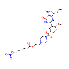 CCCc1cn(C)c2c(=O)[nH]c(-c3cc(S(=O)(=O)N4CCN(CCOC(=O)CCCCCO[N+](=O)[O-])CC4)ccc3OCC)nc12